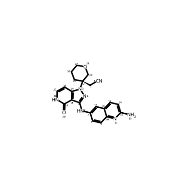 N#CC[C@@]1(n2nc(Nc3ccc4nc(N)ccc4c3)c3c(=O)[nH]ccc32)CCCOC1